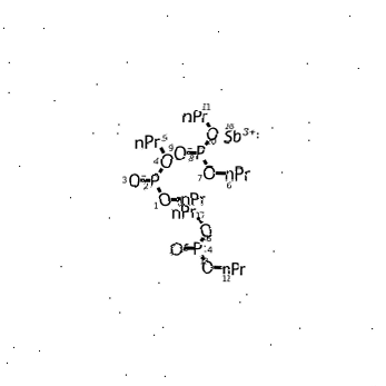 CCCOP([O-])OCCC.CCCOP([O-])OCCC.CCCOP([O-])OCCC.[Sb+3]